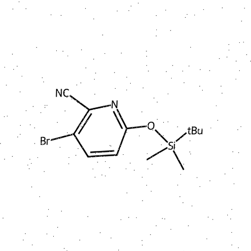 CC(C)(C)[Si](C)(C)Oc1ccc(Br)c(C#N)n1